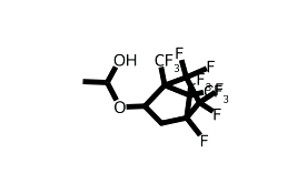 CC(O)OC1CC2(F)C(F)(F)C(F)(F)C1(C(F)(F)F)C2(C(F)(F)F)C(F)(F)F